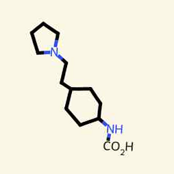 O=C(O)NC1CCC(CCN2CCCC2)CC1